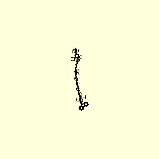 O=C(NCOCCOCCOCCOCCc1cc(CCCCCOc2c(Cl)cc(C3=NCCO3)cc2Cl)on1)OCC1c2ccccc2-c2ccccc21